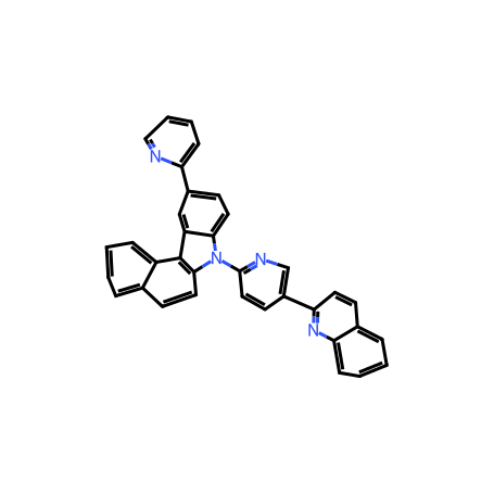 c1ccc(-c2ccc3c(c2)c2c4ccccc4ccc2n3-c2ccc(-c3ccc4ccccc4n3)cn2)nc1